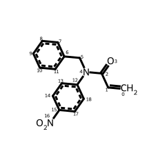 C=CC(=O)N(Cc1ccccc1)c1ccc([N+](=O)[O-])cc1